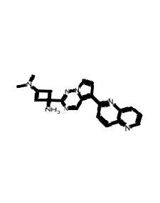 CN(C)C1CC(N)(c2ncc3c(-c4ccc5ncccc5n4)ccn3n2)C1